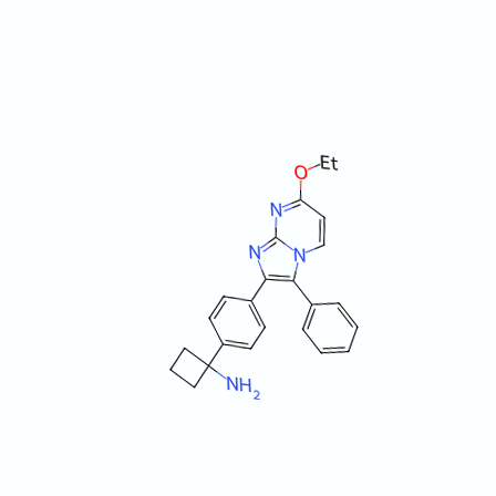 CCOc1ccn2c(-c3ccccc3)c(-c3ccc(C4(N)CCC4)cc3)nc2n1